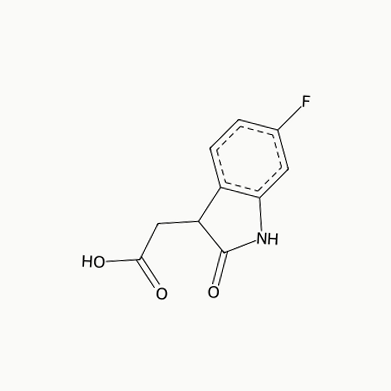 O=C(O)CC1C(=O)Nc2cc(F)ccc21